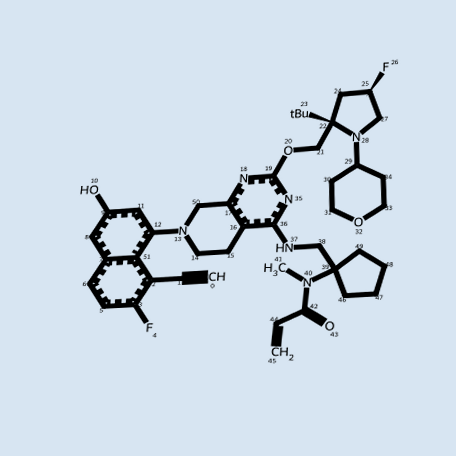 C#Cc1c(F)ccc2cc(O)cc(N3CCc4c(nc(OC[C@]5(C(C)(C)C)C[C@@H](F)CN5C5CCOCC5)nc4NCC4(N(C)C(=O)C=C)CCCC4)C3)c12